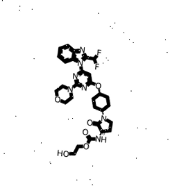 O=C(N[C@H]1CCN([C@H]2CC[C@H](Oc3cc(-n4c(C(F)F)nc5ccccc54)nc(N4CCOCC4)n3)CC2)C1=O)OCCO